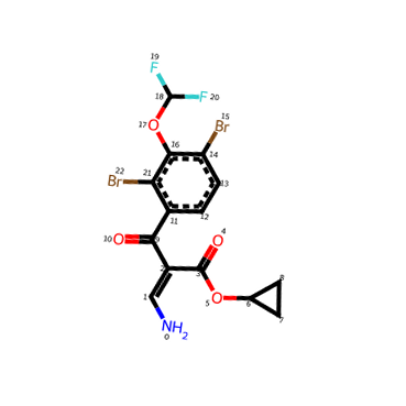 NC=C(C(=O)OC1CC1)C(=O)c1ccc(Br)c(OC(F)F)c1Br